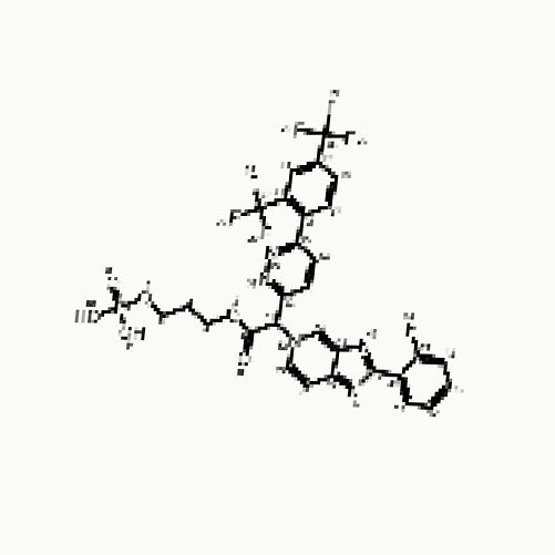 O=C(OCCCOP(=O)(O)O)C(c1ccc(-c2ccc(C(F)(F)F)cc2C(F)(F)F)nn1)n1ccc2nc(-c3ccccc3F)nc-2c1